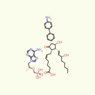 CCCCC[C@H](O)/C=C/[C@H]1[C@H](O)CC(=O)[C@@H]1C/C=C\CCCC(=O)O.C[C@H](Cn1cnc2c(N)ncnc21)OCP(=O)(O)O.Nc1ccc(-c2ccccc2)cc1